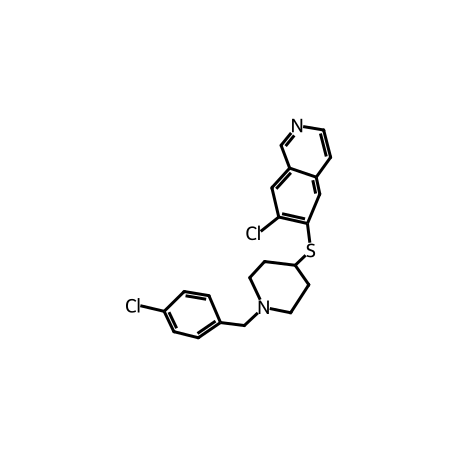 Clc1ccc(CN2CCC(Sc3cc4ccncc4cc3Cl)CC2)cc1